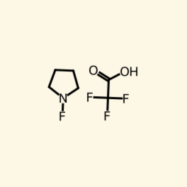 FN1CCCC1.O=C(O)C(F)(F)F